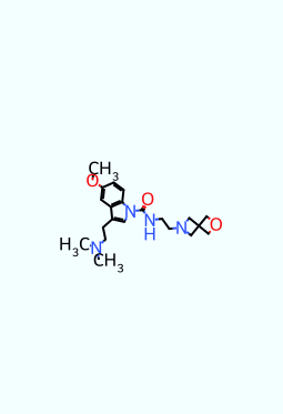 COc1ccc2c(c1)c(CCN(C)C)cn2C(=O)NCCN1CC2(COC2)C1